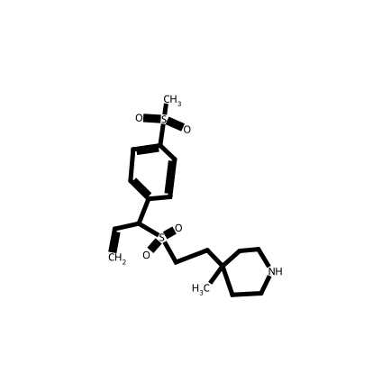 C=CC(c1ccc(S(C)(=O)=O)cc1)S(=O)(=O)CCC1(C)CCNCC1